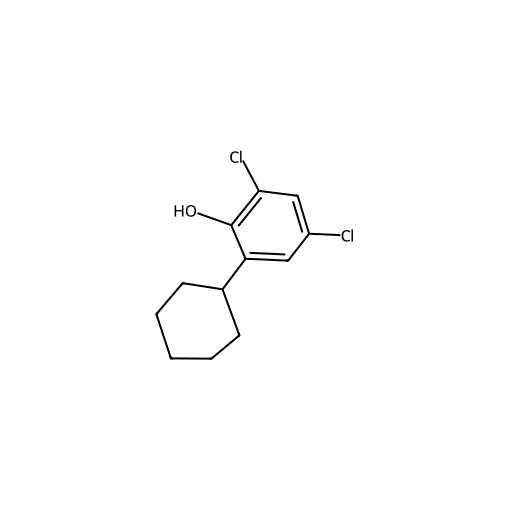 Oc1c(Cl)cc(Cl)cc1C1CCCCC1